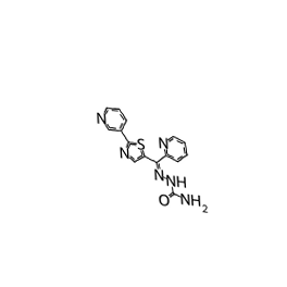 NC(=O)N/N=C(\c1ccccn1)c1cnc(-c2cccnc2)s1